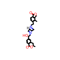 Cc1c(CCN2CC3[C@@H]2CN3CC(O)c2ccc3c(c2)CC(C)OC3=O)ccc2c1COC2=O